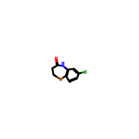 O=C1CCSc2ccc(Cl)cc2N1